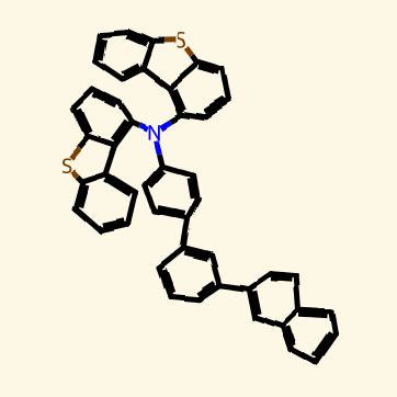 c1cc(-c2ccc(N(c3cccc4sc5ccccc5c34)c3cccc4sc5ccccc5c34)cc2)cc(-c2ccc3ccccc3c2)c1